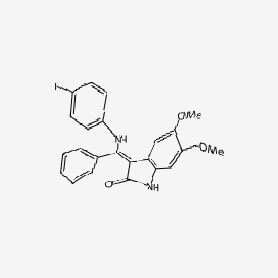 COc1cc2c(cc1OC)C(=C(Nc1ccc(I)cc1)c1ccccc1)C(=O)N2